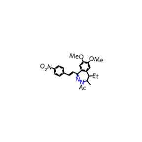 CCC1c2cc(OC)c(OC)cc2C(/C=C/c2ccc([N+](=O)[O-])cc2)=NN(C(C)=O)C1C